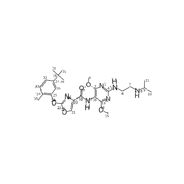 COc1nc(NCCNC(C)C)nc(OC)c1NC(=O)c1coc(Oc2cc(C(C)(C)C)ccc2C)n1